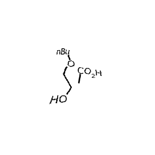 CC(=O)O.CCCCOCCO